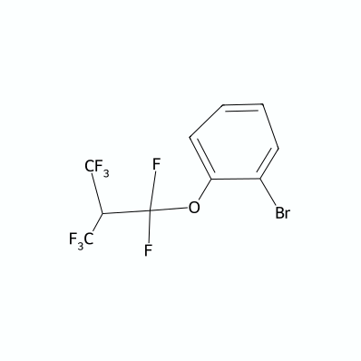 FC(F)(F)C(C(F)(F)F)C(F)(F)Oc1ccccc1Br